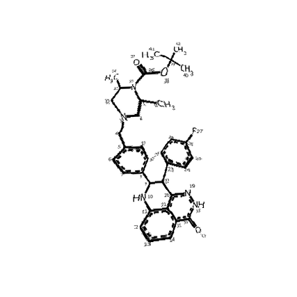 CC1CN(Cc2ccc(C3Nc4cccc5c(=O)[nH]nc(c45)C3c3ccc(F)cc3)cc2)CC(C)N1C(=O)OC(C)(C)C